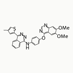 COc1cc2ncnc(Oc3ccc(Nc4nnc(-c5cc(C)cs5)c5ccccc45)cc3)c2cc1OC